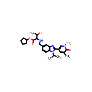 Cc1cc(-c2nc3cc(CNC(C(=O)OC4CCCC4)C(C)O)ccc3n2C(C)C)cn(C)c1=O